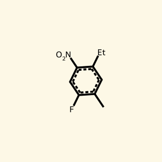 CCc1cc(C)c(F)cc1[N+](=O)[O-]